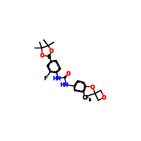 CC1(Oc2ccc(NC(=O)Nc3ccc(B4OC(C)(C)C(C)(C)O4)cc3F)cc2C(F)(F)F)COC1